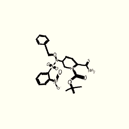 CC(C)(C)OC(=O)N1CC(N(OCc2ccccc2)S(=O)(=O)c2ccccc2[N+](=O)[O-])CCC1C(N)=S